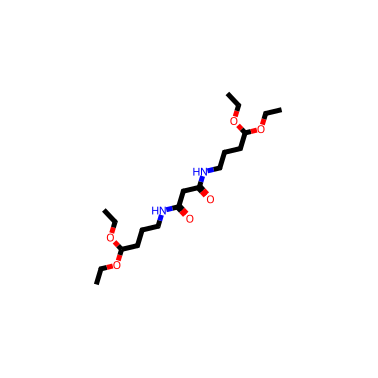 CCOC(CCCNC(=O)CC(=O)NCCCC(OCC)OCC)OCC